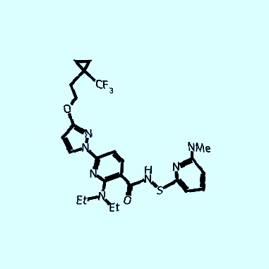 CCN(CC)c1nc(-n2ccc(OCCC3(C(F)(F)F)CC3)n2)ccc1C(=O)NSc1cccc(NC)n1